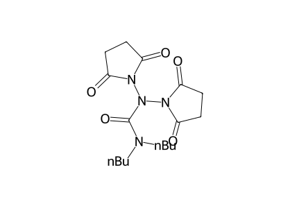 CCCCN(CCCC)C(=O)N(N1C(=O)CCC1=O)N1C(=O)CCC1=O